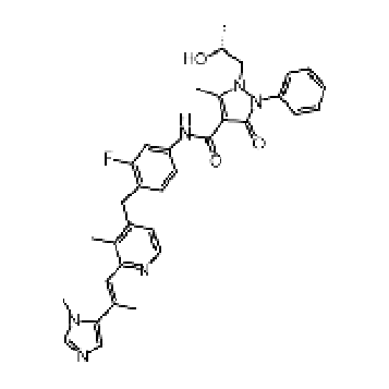 C/C(=C\c1nccc(Cc2ccc(NC(=O)c3c(C)n(C[C@@H](C)O)n(-c4ccccc4)c3=O)cc2F)c1C)c1cncn1C